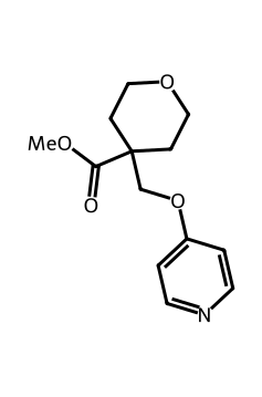 COC(=O)C1(COc2ccncc2)CCOCC1